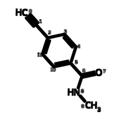 C#Cc1ccc(C(=O)NC)cc1